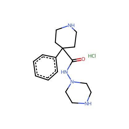 Cl.O=C(NN1CCNCC1)C1(c2ccccc2)CCNCC1